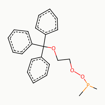 CP(C)OOCCOC(c1ccccc1)(c1ccccc1)c1ccccc1